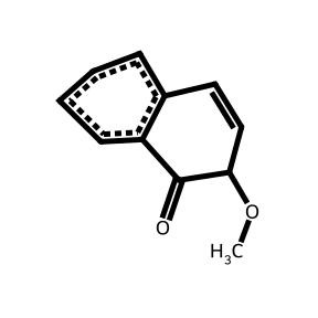 COC1C=Cc2ccccc2C1=O